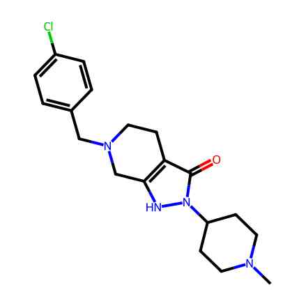 CN1CCC(n2[nH]c3c(c2=O)CCN(Cc2ccc(Cl)cc2)C3)CC1